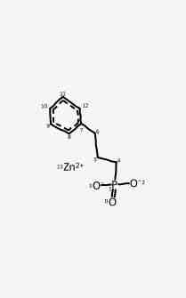 O=P([O-])([O-])CCCc1ccccc1.[Zn+2]